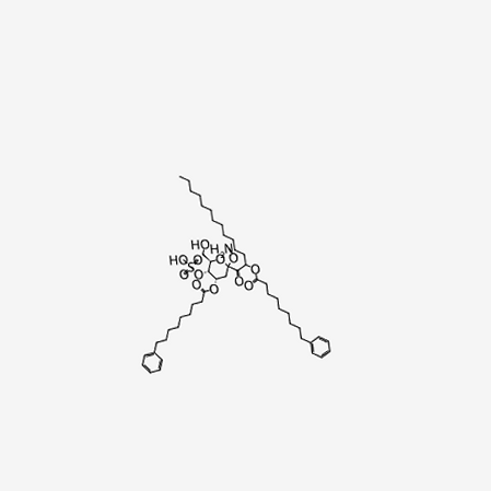 CCCCCCCCCCCCC(OC(=O)CCCCCCCCc1ccccc1)C(=O)C1(ON)C[C@H](OC(=O)CCCCCCCCc2ccccc2)[C@H](OS(=O)(=O)O)[C@@H](CO)O1